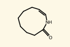 O=C1CCCCCCC=CN1